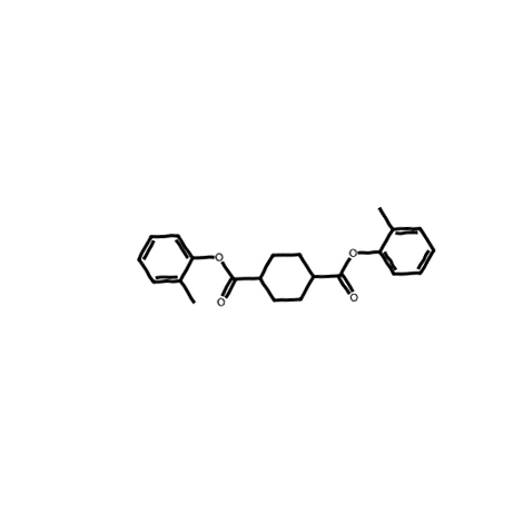 Cc1ccccc1OC(=O)C1CCC(C(=O)Oc2ccccc2C)CC1